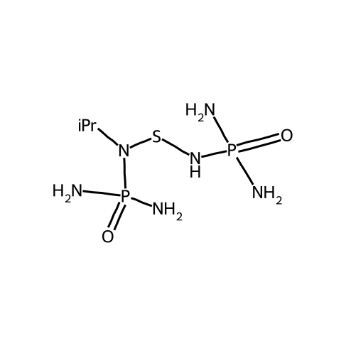 CC(C)N(SNP(N)(N)=O)P(N)(N)=O